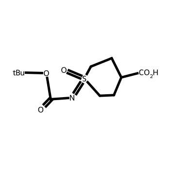 CC(C)(C)OC(=O)N=S1(=O)CCC(C(=O)O)CC1